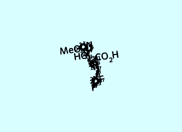 COc1ccc2nccc([C@H](O)CC[C@@H]3CCN(CC#Cc4ccc(F)cc4F)C[C@@H]3CC(=O)O)c2c1